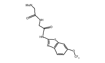 CNCC(=O)NCC(=O)Nc1nc2ccc(OC(F)(F)F)cc2s1